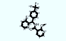 COc1ncccc1C(=O)NC(c1ccc(C(F)(F)F)cc1)c1ncccc1F